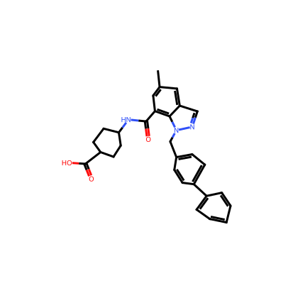 Cc1cc(C(=O)NC2CCC(C(=O)O)CC2)c2c(cnn2Cc2ccc(-c3ccccc3)cc2)c1